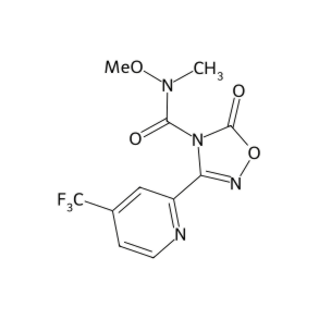 CON(C)C(=O)n1c(-c2cc(C(F)(F)F)ccn2)noc1=O